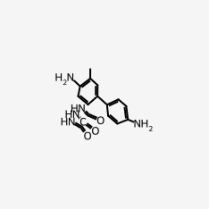 Cc1cc(-c2ccc(N)cc2)ccc1N.N=C=O.N=C=O.N=C=O